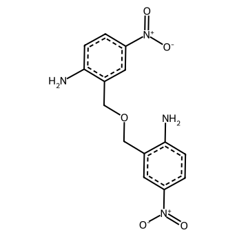 Nc1ccc([N+](=O)[O-])cc1COCc1cc([N+](=O)[O-])ccc1N